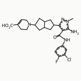 Cn1nc(C2CC3CC(N4CC=C(C(=O)O)CC4)CC3C2)c(C(=O)Nc2ccc(F)c(Cl)c2)c1N